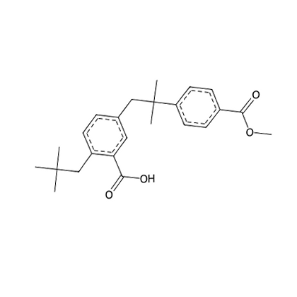 COC(=O)c1ccc(C(C)(C)Cc2ccc(CC(C)(C)C)c(C(=O)O)c2)cc1